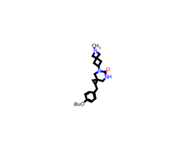 CC(C)COc1ccc(CC2CC23CNC(=O)N(C2CC4(C2)CN(C)C4)C3)cc1